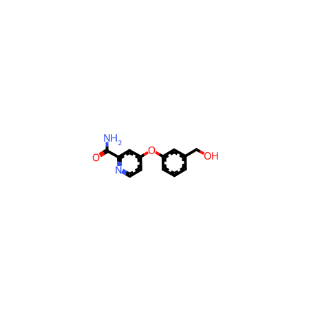 NC(=O)c1cc(Oc2cccc(CO)c2)ccn1